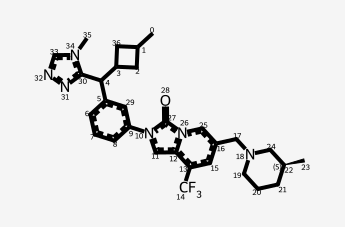 CC1CC(C(c2cccc(-n3cc4c(C(F)(F)F)cc(CN5CCC[C@H](C)C5)cn4c3=O)c2)c2nncn2C)C1